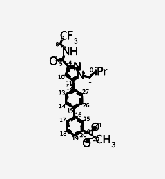 CC(C)Cn1nc(C(=O)NCC(F)(F)F)cc1-c1ccc(-c2cccc(S(C)(=O)=O)c2)cc1